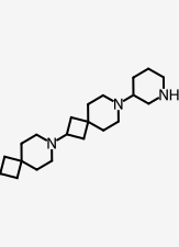 C1CNCC(N2CCC3(CC2)CC(N2CCC4(CCC4)CC2)C3)C1